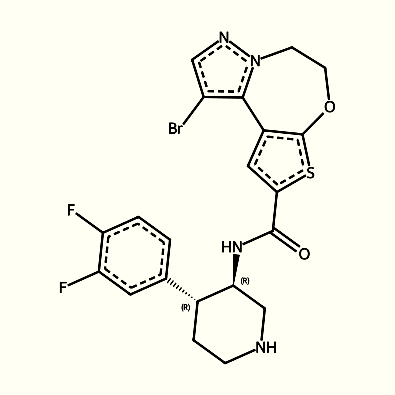 O=C(N[C@H]1CNCC[C@@H]1c1ccc(F)c(F)c1)c1cc2c(s1)OCCn1ncc(Br)c1-2